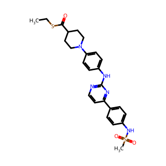 CCSC(=O)C1CCN(c2ccc(Nc3nccc(-c4ccc(NS(C)(=O)=O)cc4)n3)cc2)CC1